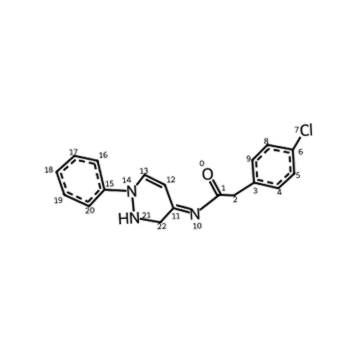 O=C(Cc1ccc(Cl)cc1)N=C1C=CN(c2ccccc2)NC1